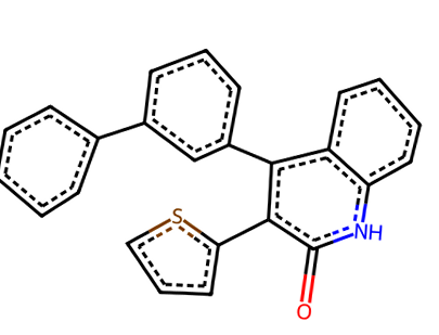 O=c1[nH]c2ccccc2c(-c2cccc(-c3ccccc3)c2)c1-c1cccs1